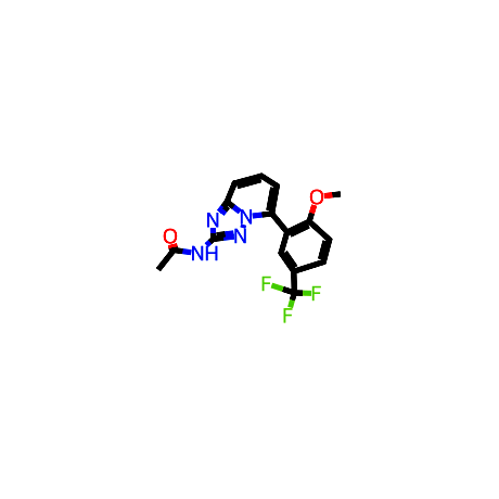 COc1ccc(C(F)(F)F)cc1-c1cccc2nc(NC(C)=O)nn12